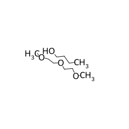 CCCCO.COCCOCCOC